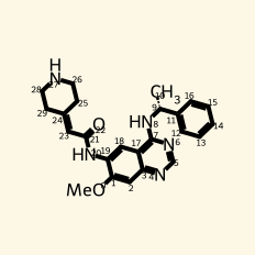 COc1cc2ncnc(N[C@H](C)c3ccccc3)c2cc1NC(=O)C=C1CCNCC1